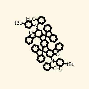 Cc1ccccc1N(c1ccc(C(C)(C)C)cc1)c1cc2c(c3c1oc1ccccc13)-c1cc3c(cc1C21c2ccccc2-c2ccccc21)C1=C(CC(N(c2ccc(C(C)(C)C)cc2)c2ccccc2C)c2oc4ccccc4c21)C31c2ccccc2-c2ccccc21